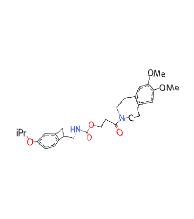 COc1cc2c(cc1OC)CCN(C(=O)CCOC(=O)NCC1Cc3cc(OC(C)C)ccc31)CC2